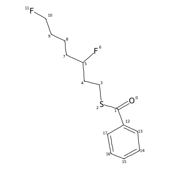 O=C(SCCC(F)CCCCF)c1ccccc1